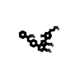 CCOc1ccc(-n2nc3c(C4CCN(CC(N)c5ccccc5)CC4)nnc(C)c3c2C)c(F)c1